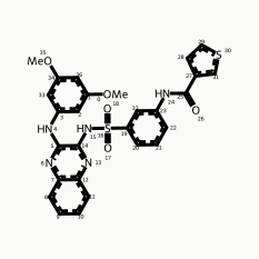 COc1cc(Nc2nc3ccccc3nc2NS(=O)(=O)c2cccc(NC(=O)c3ccsc3)c2)cc(OC)c1